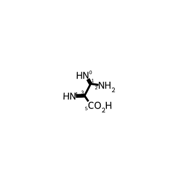 N=C(N)C(=N)C(=O)O